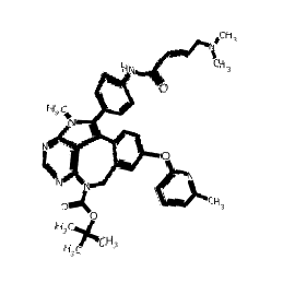 Cc1cccc(Oc2ccc3c(c2)CN(C(=O)OC(C)(C)C)c2ncnc4c2c-3c(-c2ccc(NC(=O)/C=C/CN(C)C)cc2)n4C)n1